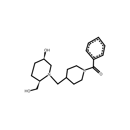 O=C(c1ccccc1)N1CCC(CN2C[C@H](O)CC[C@@H]2CO)CC1